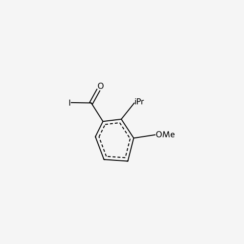 COc1cccc(C(=O)I)c1C(C)C